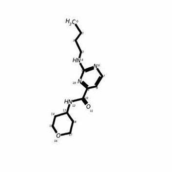 CCCCNc1nccc(C(=O)NC2CCOCC2)n1